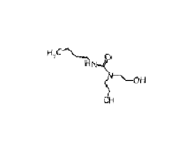 CCCCNC(=O)N(CCO)CCO